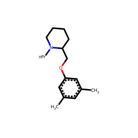 CCCN1CCCCC1COc1cc(C)cc(C)c1